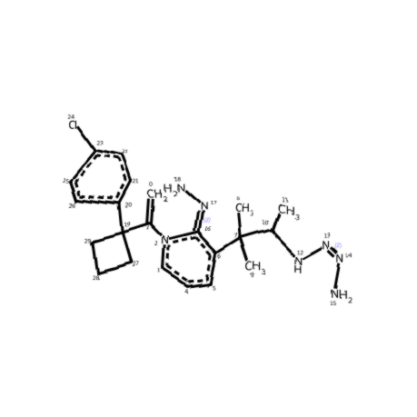 C=C(n1cccc(C(C)(C)C(C)N/N=N\N)/c1=N/N)C1(c2ccc(Cl)cc2)CCC1